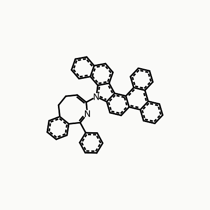 C1=C(n2c3ccc4c5ccccc5c5ccccc5c4c3c3ccc4ccccc4c32)\N=C(\c2ccccc2)c2ccccc2CC/1